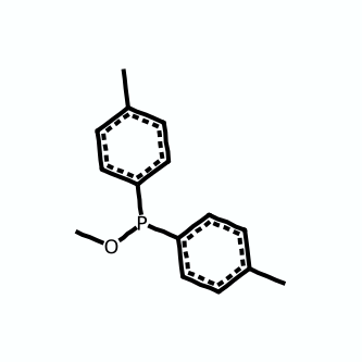 COP(c1ccc(C)cc1)c1ccc(C)cc1